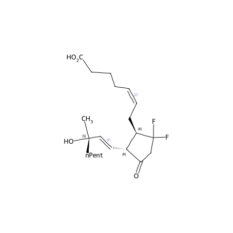 CCCCC[C@](C)(O)/C=C/[C@H]1C(=O)CC(F)(F)[C@@H]1C/C=C\CCCC(=O)O